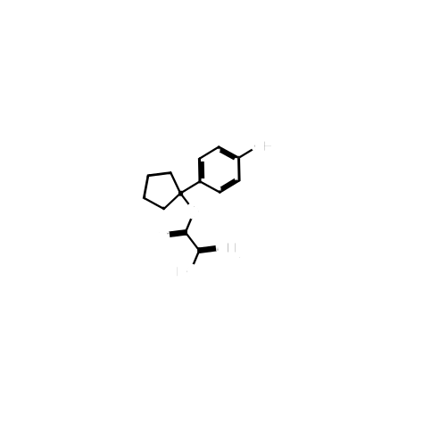 C=C(C)C(=O)OC1(c2ccc(C)cc2)CCCC1